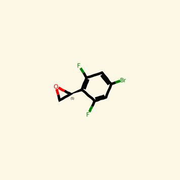 Fc1cc(Br)cc(F)c1[C@H]1CO1